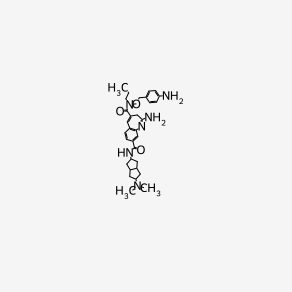 CCCN(OCc1ccc(N)cc1)C(=O)C1=Cc2ccc(C(=O)NC3CC4CC(N(C)C)CC4C3)cc2N=C(N)C1